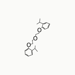 CC(C)c1ccccc1OCCOCCOc1ccccc1C(C)C